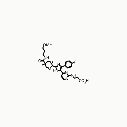 COCCCNC(=O)C1(C)COC(c2nc(-c3ccc(F)cc3)c(-c3ccnc(NCCC(=O)O)n3)[nH]2)OC1